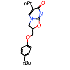 CCCc1cn2c(nc1=O)OC(COc1ccc(C(C)(C)C)cc1)C2